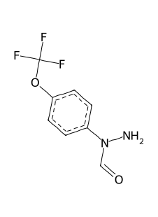 NN(C=O)c1ccc(OC(F)(F)F)cc1